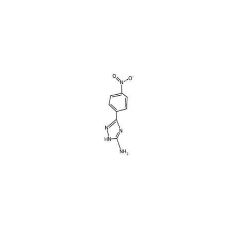 Nc1nc(-c2ccc([N+](=O)[O-])cc2)n[nH]1